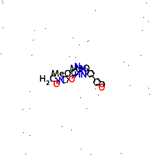 C=CC(=O)N1CCC(Oc2cc3c(Nc4cc(-c5ccc6occc6c5)ccc4OC)ncnc3cc2OC)CC1